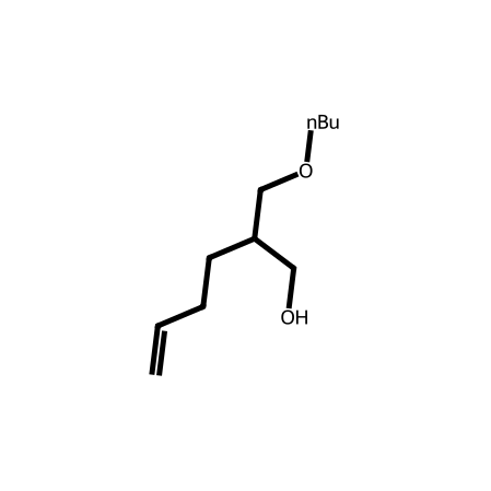 C=CCCC(CO)COCCCC